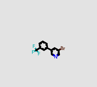 FC(F)(F)c1cccc(-c2cncc(Br)c2)c1